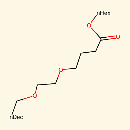 CCCCCCCCCCCOCCOCCCC(=O)OCCCCCC